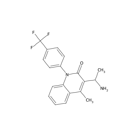 Cc1c(C(C)N)c(=O)n(-c2ccc(C(F)(F)F)cc2)c2ccccc12